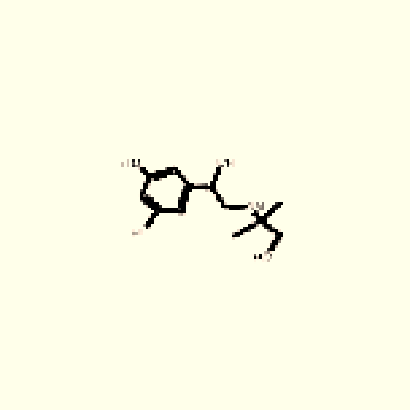 CC(C)(CO)NCC(O)c1cc(O)cc(O)c1